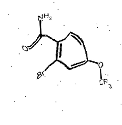 NC(=O)c1ccc(OC(F)(F)F)cc1Br